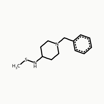 CSNC1CCN(Cc2ccccc2)CC1